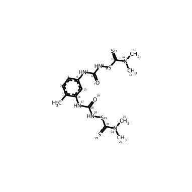 Cc1ccc(NC(=O)NSC(=S)N(C)C)cc1NC(=O)NSC(=S)N(C)C